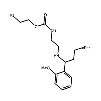 CCCCCCCCCCCCC(NCCNC(=O)OCCO)c1ccccc1OC